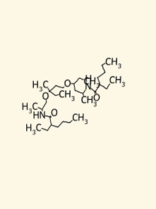 CCCCC(CC)C(=O)NC(C)COC(C)(CC)CCOC(CC)CC(C)NC(=O)C(CC)CCCC